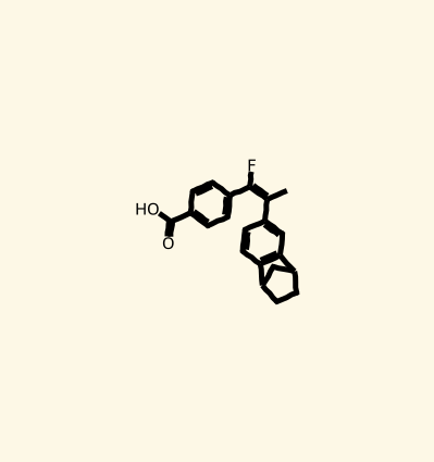 C/C(=C(\F)c1ccc(C(=O)O)cc1)c1ccc2c(c1)C1CCC2C1